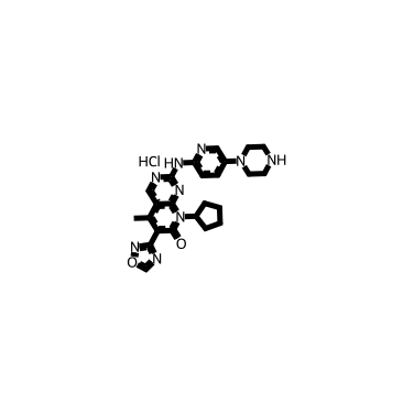 Cc1c(-c2ncon2)c(=O)n(C2CCCC2)c2nc(Nc3ccc(N4CCNCC4)cn3)ncc12.Cl